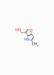 Cc1cc2occ(CO)c2[nH]1